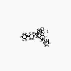 CS(=O)(=O)NC1CCN(c2ncccn2)CC1CO[C@H]1CC=C(c2ccccc2)CC1